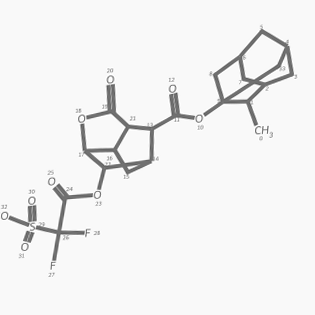 CC1C2CC3CC(C2)CC1(OC(=O)C1C2CC4C(OC(=O)C41)C2OC(=O)C(F)(F)S(=O)(=O)O)C3